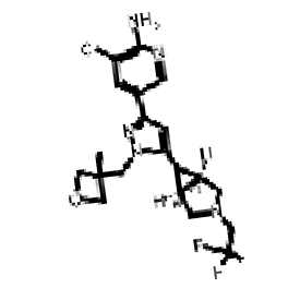 CC1(Cn2nc(-c3cnc(N)c(Cl)c3)cc2C2[C@H]3CN(CC(F)(F)F)C[C@@H]23)COC1